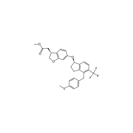 COC(=O)C[C@@H]1COc2cc(O[C@@H]3CCc4c3ccc(C(F)(F)F)c4Cc3ccc(SC)cc3)ccc21